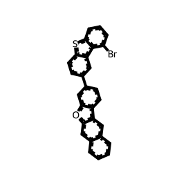 Brc1cccc2sc3ccc(-c4ccc5c(c4)oc4cc6ccccc6cc45)cc3c12